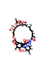 CO[C@H]1/C=C/O[C@@]2(C)Oc3c(C)c(O)c4c(O)c(c5c(nc6cc(C)ccn65)c4c3C2=O)NC(=O)/C(C)=C\C=C\[C@H](C)C[C@@H](C)[C@@H](O)[C@@H](C)[C@H](OC(C)=O)[C@@H]1C